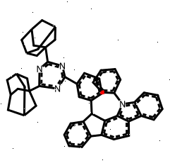 c1ccc(-n2c3ccccc3c3ccc4c(c32)C(c2cccc(-c3nc(C56CC7CC(CC(C7)C5)C6)nc(C56CC7CC(CC(C7)C5)C6)n3)c2)c2ccccc2-4)cc1